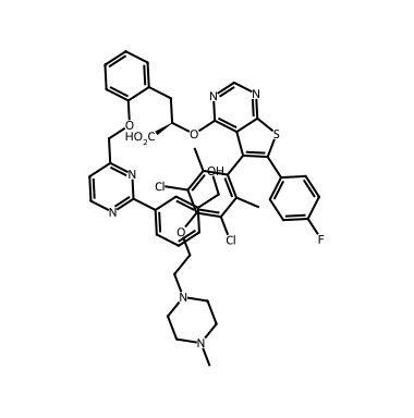 Cc1c(Cl)c(OCCN2CCN(C)CC2)c(Cl)c(C)c1-c1c(-c2ccc(F)cc2)sc2ncnc(O[C@H](Cc3ccccc3OCc3ccnc(-c4cccc(CO)c4)n3)C(=O)O)c12